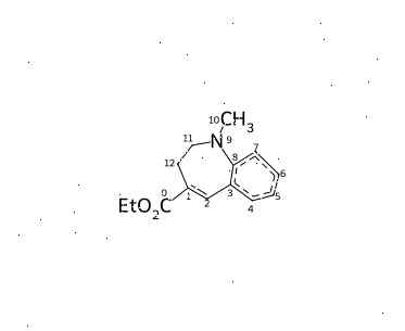 CCOC(=O)C1=Cc2ccccc2N(C)CC1